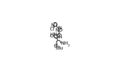 CC(C)(C)OCCC(CCN)c1cc(=O)[nH]c2c(-c3nc(-c4cccnc4Cl)no3)cnn12